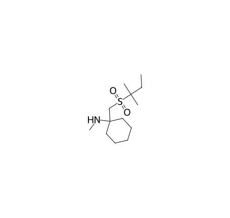 CCC(C)(C)S(=O)(=O)CC1(NC)CCCCC1